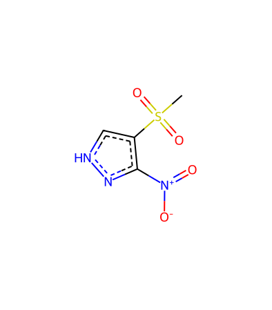 CS(=O)(=O)c1c[nH]nc1[N+](=O)[O-]